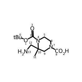 CC(C)(C)OC(=O)N1CCN(C(=O)O)CC1(C)CN